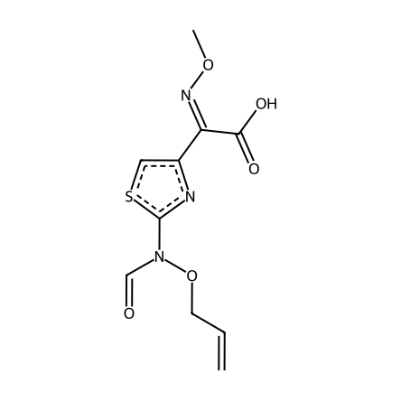 C=CCON(C=O)c1nc(C(=NOC)C(=O)O)cs1